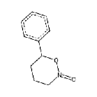 O=[N+]1CCCC(c2ccccc2)O1